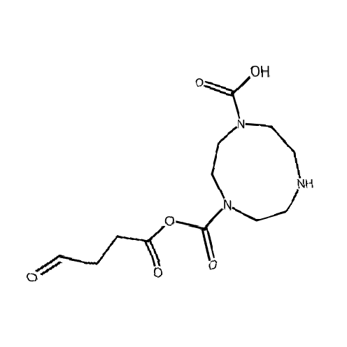 O=CCCC(=O)OC(=O)N1CCNCCN(C(=O)O)CC1